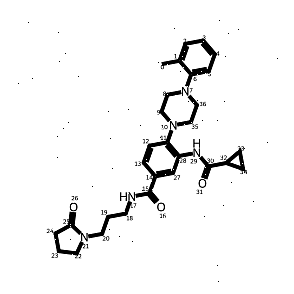 Cc1ccccc1N1CCN(c2ccc(C(=O)NCCCN3CCCC3=O)cc2NC(=O)C2CC2)CC1